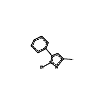 [CH2]c1cc(-c2ccccc2)n(CC)n1